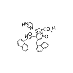 O=C(O)C1CSc2c(-c3cc(-c4cccc5ccccc45)no3)c(Cc3cccc4ccccc34)cc(=O)n21.c1c[nH]cn1